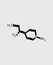 C=CC(N)=C1C=CN(N)C=C1